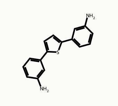 Nc1cccc(-c2ccc(-c3cccc(N)c3)s2)c1